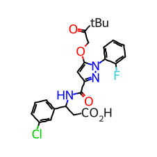 CC(C)(C)C(=O)COc1cc(C(=O)NC(CC(=O)O)c2cccc(Cl)c2)nn1-c1ccccc1F